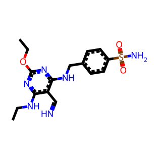 CCNc1nc(OCC)nc(NCc2ccc(S(N)(=O)=O)cc2)c1C=N